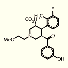 COCCN1C[C@H](C(=O)O)[C@@H](c2cccc(F)c2C)[C@@H](C(=O)c2cccc(O)c2)C1